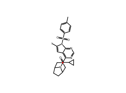 Cc1ccc(S(=O)(=O)n2c(I)cc3c(N4CC5CCC(C4)N5C(=O)C4CC4)ncnc32)cc1